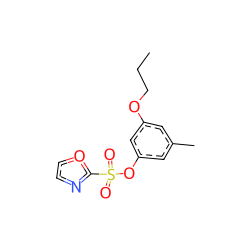 CCCOc1cc(C)cc(OS(=O)(=O)c2ncco2)c1